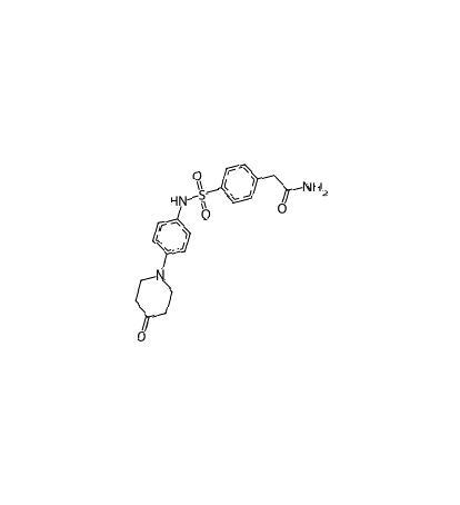 NC(=O)Cc1ccc(S(=O)(=O)Nc2ccc(N3CCC(=O)CC3)cc2)cc1